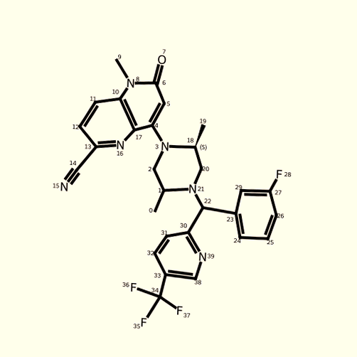 CC1CN(c2cc(=O)n(C)c3ccc(C#N)nc23)[C@@H](C)CN1C(c1cccc(F)c1)c1ccc(C(F)(F)F)cn1